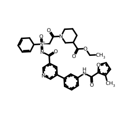 CCOC(=O)C1CCCN(C(=O)C[S@@](=O)(=NC(=O)c2cncc(-c3cccc(NC(=O)c4occc4C)c3)c2)C2C=CC=CC2)C1